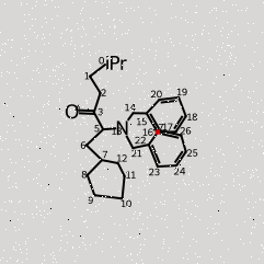 CC(C)CCC(=O)C(CC1CCCCC1)N(Cc1ccccc1)Cc1ccccc1